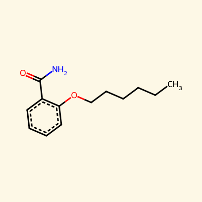 CCCCCCOc1ccccc1C(N)=O